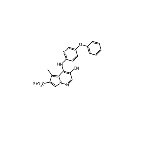 CCOC(=O)c1cn2ncc(C#N)c(Nc3ccc(Oc4ccccc4)cn3)c2c1C